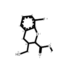 COC(=O)C1Oc2c(F)cccc2CC1CO